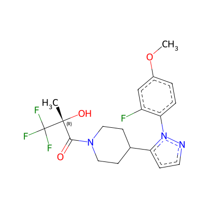 COc1ccc(-n2nccc2C2CCN(C(=O)[C@@](C)(O)C(F)(F)F)CC2)c(F)c1